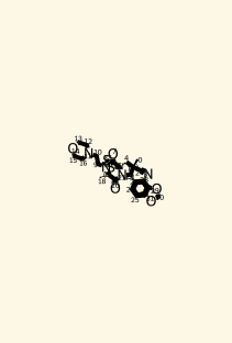 C[C@]1(C#N)C[C@]23C(=O)N(CCN4CCOCC4)[C@](C)(C(=O)N2[C@H]1c1ccc2c(c1)OCO2)S3=S